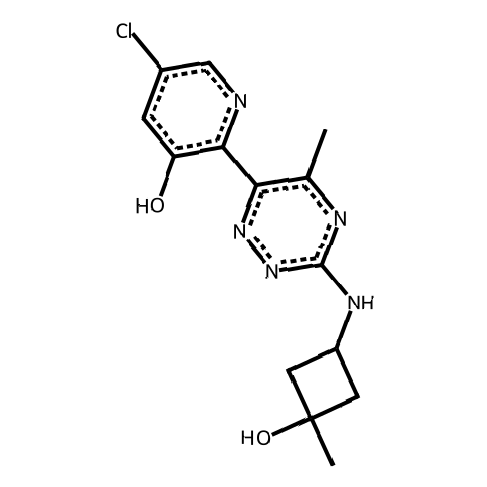 Cc1nc(NC2CC(C)(O)C2)nnc1-c1ncc(Cl)cc1O